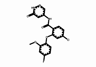 COc1cc(F)ccc1Oc1cc(Cl)ccc1C(=O)Nc1cn[nH]c(=O)c1